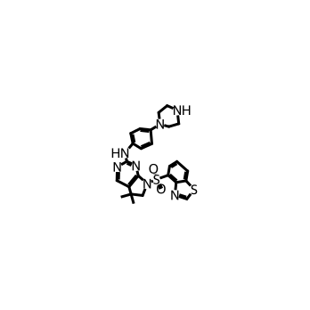 CC1(C)CN(S(=O)(=O)c2cccc3scnc23)c2nc(Nc3ccc(N4CCNCC4)cc3)ncc21